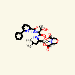 CC(C)CC(NC(=O)C(NC(=O)c1cccc(-c2ccccc2)n1)C(C)O)B1OC(=O)[C@H]2COC[C@@H](C(=O)O1)N2C